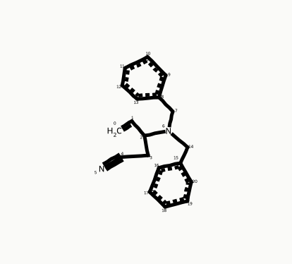 C=CC(CC#N)N(Cc1ccccc1)Cc1ccccc1